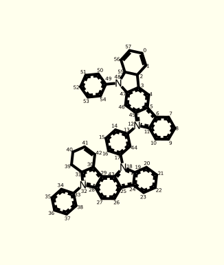 C1=CC2c3cc4c5ccccc5n(-c5cccc(-n6c7ccccc7c7ccc8c(c9c(n8-c8ccccc8)CCC=C9)c76)c5)c4cc3N(c3ccccc3)C2C=C1